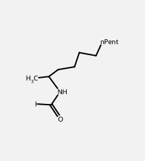 CCCCCCCCCC(C)NC(=O)I